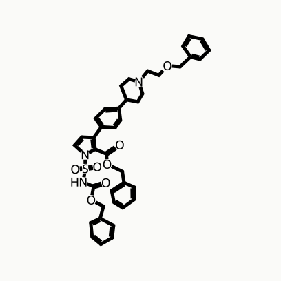 O=C(NS(=O)(=O)n1ccc(-c2ccc(C3CCN(CCOCc4ccccc4)CC3)cc2)c1C(=O)OCc1ccccc1)OCc1ccccc1